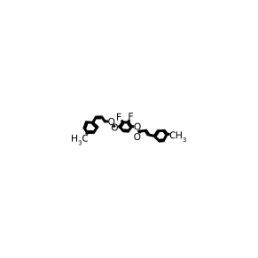 Cc1ccc(/C=C\COOc2ccc(OC(=O)/C=C/c3ccc(C)cc3)c(F)c2F)cc1